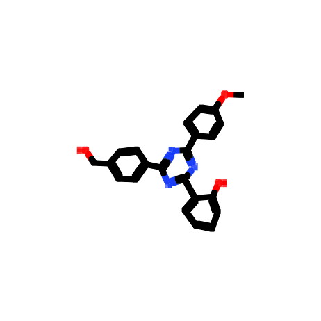 COc1ccc(-c2nc(-c3ccc(CO)cc3)nc(-c3ccccc3O)n2)cc1